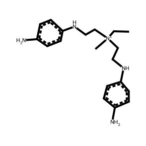 CC[N+](C)(CCNc1ccc(N)cc1)CCNc1ccc(N)cc1